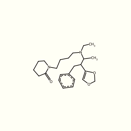 CCN(CCCCN1CCCCC1=O)C(C)C(Cc1ccccc1)C1=COCO1